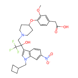 COc1cc(CC(=O)O)ccc1OC1CCN(CC(O)(c2cn(CC3CCC3)c3cc([N+](=O)[O-])ccc23)C(F)(F)F)CC1